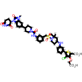 Cn1c(=O)n([C@@H]2CCC(=O)NC2=O)c2ccc(C3CCN(C(=O)Nc4cccc(CS(=O)(=O)N5CC[C@H](Nc6cccc(-c7sc(C(=O)O)c(OCC(=O)O)c7Cl)c6)CC5(C)C)c4)CC3)cc21